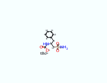 CC(C)(C)OC(=O)NC(Cc1ccccc1)CS(N)(=O)=O